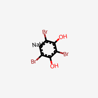 Oc1c(Br)cc(Br)c(O)c1Br.[NaH]